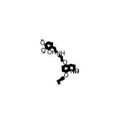 CCC#COc1ccc(OCCCNCCc2ccc(OC)c(OC)c2O)c2c1NC(=O)CC2